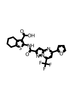 O=C(Nc1sc2c(c1C(=O)O)CCCC2)c1cc2nc(-c3ccco3)cc(C(F)(F)F)n2n1